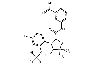 [2H]C([2H])([2H])Oc1c([C@H]2[C@@H](C(=O)Nc3ccnc(C(N)=O)c3)O[C@@](C)(C(F)(F)F)[C@H]2C)ccc(F)c1F